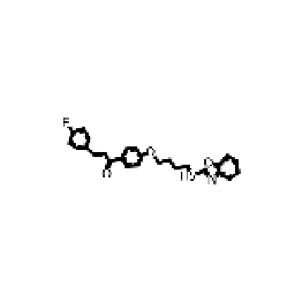 O=C(/C=C/c1ccc(F)cc1)c1ccc(OCCCC=[SH]c2nc3ccccc3o2)cc1